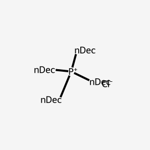 CCCCCCCCCC[P+](CCCCCCCCCC)(CCCCCCCCCC)CCCCCCCCCC.[Cl-]